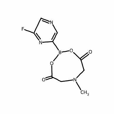 CN1CC(=O)OB(c2cncc(F)n2)OC(=O)C1